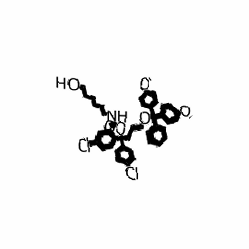 COc1ccc(C(OCCCC(OC(=O)NCCCCCCO)(c2ccc(Cl)cc2)c2ccc(Cl)cc2)(c2ccccc2)c2ccc(OC)cc2)cc1